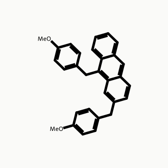 COc1ccc(Cc2ccc3cc4ccccc4c(Cc4ccc(OC)cc4)c3c2)cc1